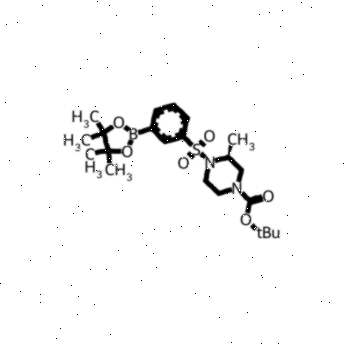 C[C@H]1CN(C(=O)OC(C)(C)C)CCN1S(=O)(=O)c1cccc(B2OC(C)(C)C(C)(C)O2)c1